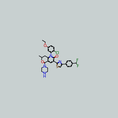 CCOc1ccc(Cl)c(-n2c(CC(C)C)c(C(=O)N3CCNCC3)cc(-c3nc(-c4ccc(C(F)F)cc4)cs3)c2=O)c1